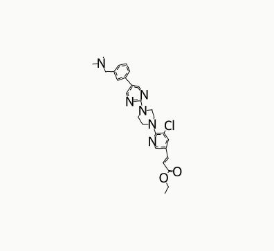 CCOC(=O)/C=C/c1cnc(N2CCN(c3ncc(-c4cccc(CN(C)C)c4)cn3)CC2)c(Cl)c1